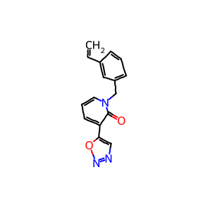 C=Cc1cccc(Cn2cccc(-c3cnno3)c2=O)c1